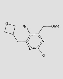 COCc1nc(Cl)nc(CC2COC2)c1Br